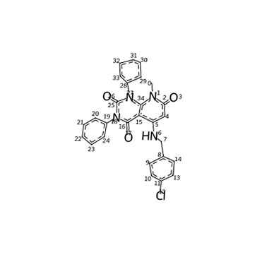 Cn1c(=O)cc(NCc2ccc(Cl)cc2)c2c(=O)n(-c3ccccc3)c(=O)n(-c3ccccc3)c21